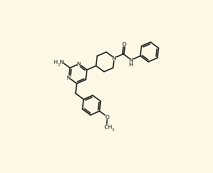 COc1ccc(Cc2cc(C3CCN(C(=O)Nc4ccccc4)CC3)nc(N)n2)cc1